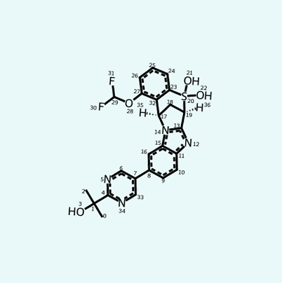 CC(C)(O)c1ncc(-c2ccc3nc4n(c3c2)[C@@H]2C[C@H]4S(O)(O)c3cccc(OC(F)F)c32)cn1